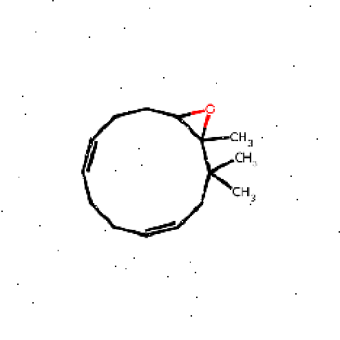 CC1(C)CC=CCCC=CCCC2OC21C